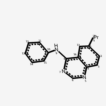 CC(C)c1ccc2ncnc(Nc3ccccc3)c2c1